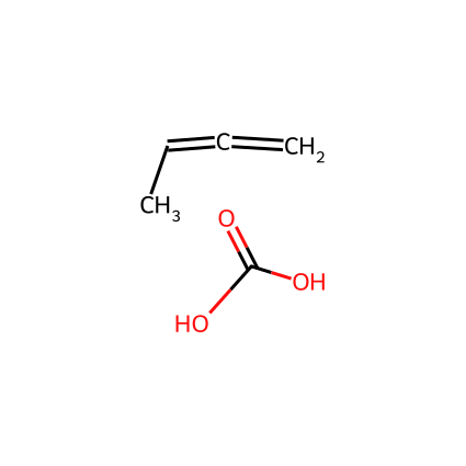 C=C=CC.O=C(O)O